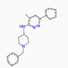 Cc1cc(-c2ccccc2)nnc1NC1CCN(Cc2ccccc2)CC1